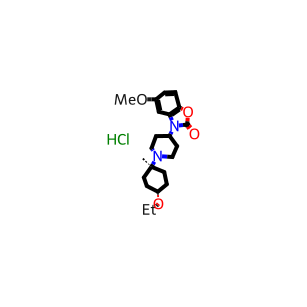 CCO[C@H]1CC[C@](C)(N2CCC(n3c(=O)oc4ccc(OC)cc43)CC2)CC1.Cl